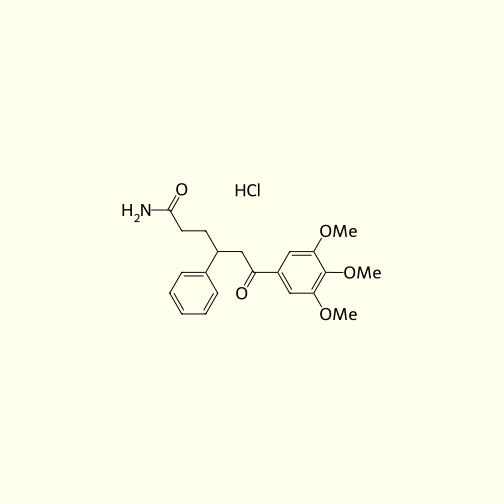 COc1cc(C(=O)CC(CCC(N)=O)c2ccccc2)cc(OC)c1OC.Cl